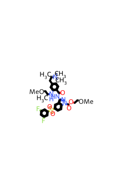 COCCOC(=O)n1nc(NC(=O)c2ccc(C[C@H](C)N(C)C)cc2NC(C)COC)c2cc(S(=O)(=O)c3cc(F)cc(F)c3)ccc21